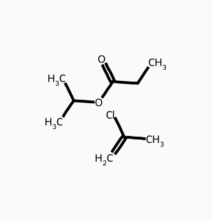 C=C(C)Cl.CCC(=O)OC(C)C